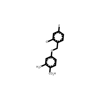 Cc1cc(OCc2ccc(F)cc2Cl)ccc1C(=O)O